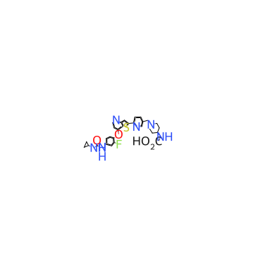 O=C(O)NC1CCN(Cc2ccc(-c3cc4nccc(Oc5ccc(NC(=O)NC6CC6)cc5F)c4s3)nc2)CC1